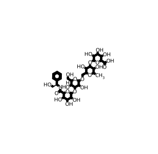 CC1OC(COC2OC(CO)C(O)C(OC3OC(C(=O)N[C@@H](CO)c4ccccc4)C(O)C(O)C3O)C2O)C(O)C(OC2OC(C(=O)O)C(O)C(O)C2O)C1O